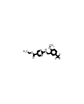 CCOC(=O)c1cnc(NCc2cc(C(F)(F)F)ccc2OC)nc1